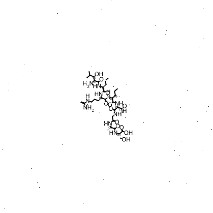 C=C(N)NCCC[C@@H](NC(=O)[C@H](CCC)NC(=O)[C@@H](N)[C@H](O)C(C)C)C(=O)N[C@H](C(=O)N[C@H](C(=O)NCC(=O)N[C@@H](C)C(=O)N[C@@H](CO)C(=O)O)[C@H](C)O)[C@@H](C)CC